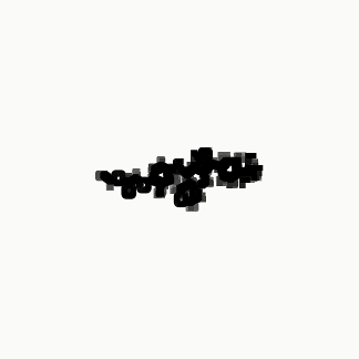 CCOC(=O)COc1ccc(SCc2noc(-c3ccc(C(F)(F)F)cc3)c2CN2CCOCC2)cc1C